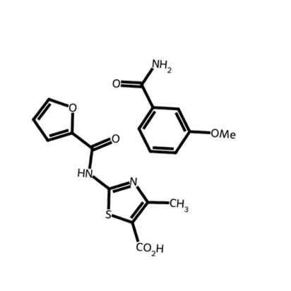 COc1cccc(C(N)=O)c1.Cc1nc(NC(=O)c2ccco2)sc1C(=O)O